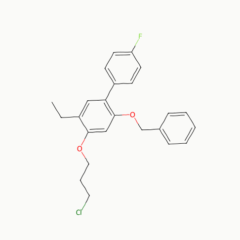 CCc1cc(-c2ccc(F)cc2)c(OCc2ccccc2)cc1OCCCCl